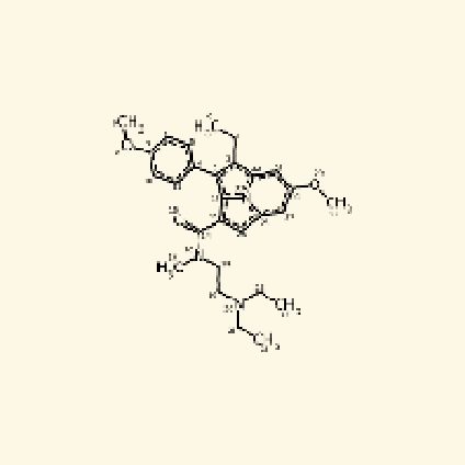 CCc1c(-c2ccc(OC)cc2)c2c(C(=O)N(C)CCN(CC)CC)cc3cc(OC)cc1n32